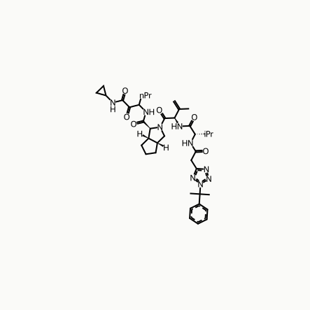 C=C(C)[C@@H](NC(=O)[C@@H](NC(=O)Cc1nnn(C(C)(C)c2ccccc2)n1)C(C)C)C(=O)N1C[C@@H]2CCC[C@@H]2[C@H]1C(=O)NC(CCC)C(=O)C(=O)NC1CC1